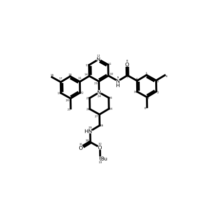 Cc1cc(C)cc(C(=O)Nc2cncc(-c3cc(C)cc(C)c3)c2N2CCC(CNC(=O)OC(C)(C)C)CC2)c1